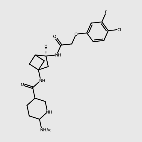 CC(=O)NC1CCC(C(=O)NC23CC(C2)[C@@H](NC(=O)COc2ccc(Cl)c(F)c2)C3)CN1